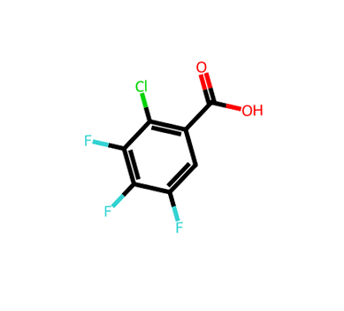 O=C(O)c1cc(F)c(F)c(F)c1Cl